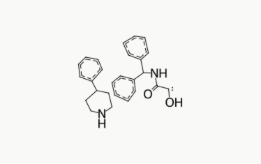 O=C([C]O)NC(c1ccccc1)c1ccccc1.c1ccc(C2CCNCC2)cc1